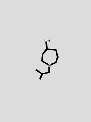 CC(C)CN1CCCC(O)CC1